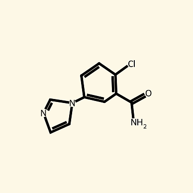 NC(=O)c1cc(-n2ccnc2)ccc1Cl